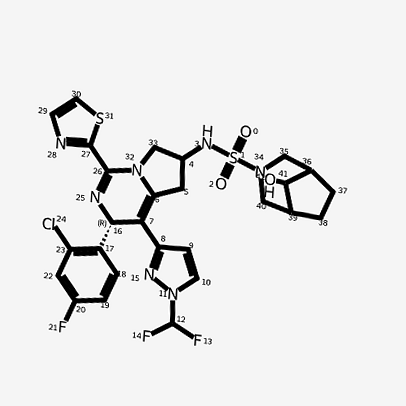 O=S(=O)(NC1CC2=C(c3ccn(C(F)F)n3)[C@H](c3ccc(F)cc3Cl)N=C(c3nccs3)N2C1)N1CC2CCC(C1)C2O